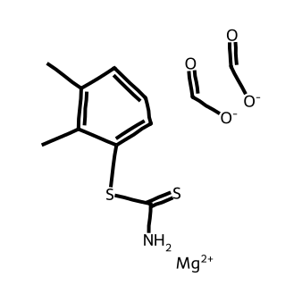 Cc1cccc(SC(N)=S)c1C.O=C[O-].O=C[O-].[Mg+2]